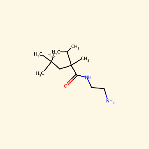 CC(C)C(C)(CC(C)(C)C)C(=O)NCCN